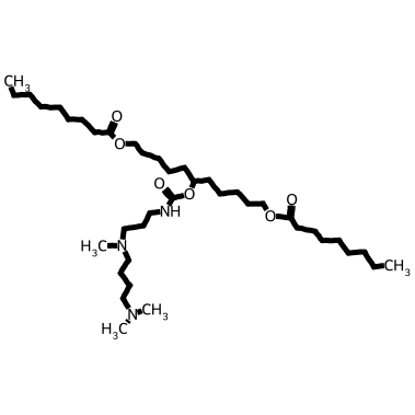 CCCCCCCCC(=O)OCCCCCC(CCCCCOC(=O)CCCCCCCC)OC(=O)NCCCN(C)CCCCN(C)C